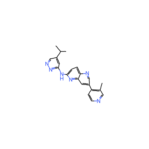 Cc1cnccc1-c1cnc2ccc(Nc3cc(C(C)C)cnn3)nc2c1